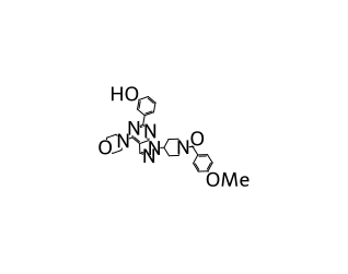 COc1ccc(C(=O)N2CCC(n3ncc4c(N5CCOCC5)nc(-c5cccc(O)c5)nc43)CC2)cc1